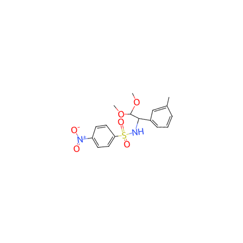 COC(OC)C(NS(=O)(=O)c1ccc([N+](=O)[O-])cc1)c1cccc(C)c1